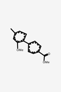 COC(=O)c1ccc(-c2ccc(C)cc2OC)cc1